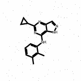 Cc1cccc(Nc2nc(C3CC3)nc3cn[nH]c23)c1C